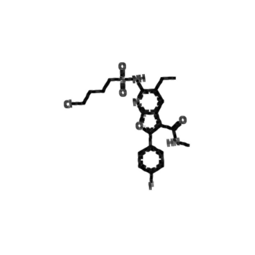 CCc1cc2c(C(=O)NC)c(-c3ccc(F)cc3)oc2nc1NS(=O)(=O)CCCCCl